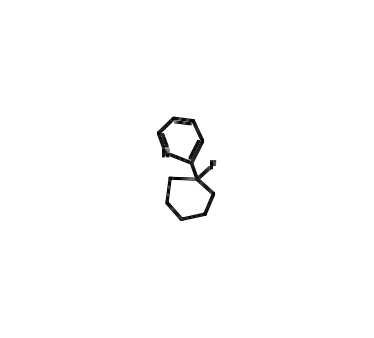 FC1(c2ccccn2)CCCCC1